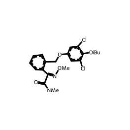 CNC(=O)/C(=N/OC)c1ccccc1COc1cc(Cl)c(OCC(C)C)c(Cl)c1